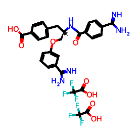 N=C(N)c1ccc(C(=O)N[C@@H](COc2cccc(C(=N)N)c2)Cc2ccc(C(=O)O)cc2)cc1.O=C(O)C(F)(F)F.O=C(O)C(F)(F)F